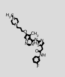 Cc1c(OCCCN2CCN(C)CC2)cn2ncnc(Nc3ncc(CC(=O)Nc4cccc(F)c4)s3)c12